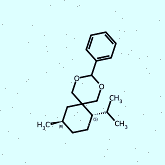 CC(C)[C@@H]1CC[C@@H](C)CC12COC(c1ccccc1)OC2